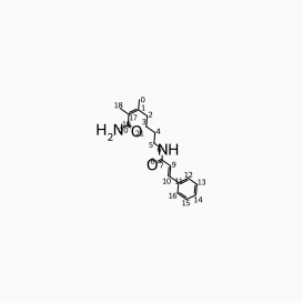 CC(CCCCNC(=O)C=Cc1ccccc1)=C(C)C(N)=O